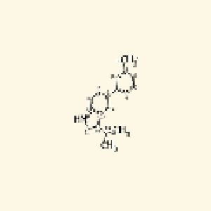 [CH2]c1cccc(-c2ccc3[nH]cc(C(C)C)c3c2)c1